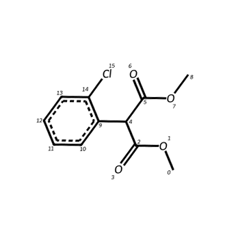 COC(=O)C(C(=O)OC)c1ccccc1Cl